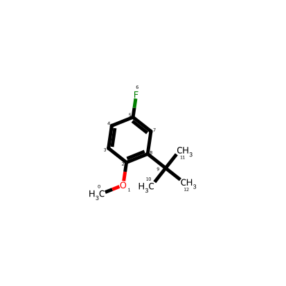 COc1ccc(F)cc1C(C)(C)C